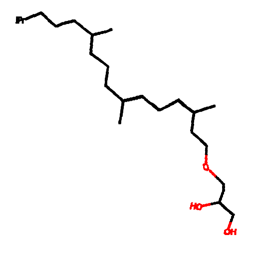 CC(C)CCCC(C)CCCC(C)CCCC(C)CCOCC(O)CO